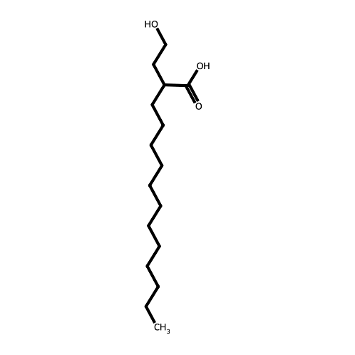 CCCCCCCCCCCC[C](CCO)C(=O)O